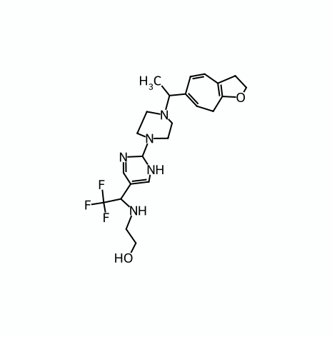 CC(C1=CCC2=C(C=C1)CCO2)N1CCN(C2N=CC(C(NCCO)C(F)(F)F)=CN2)CC1